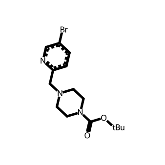 CC(C)(C)OC(=O)N1CCN(Cc2ccc(Br)cn2)CC1